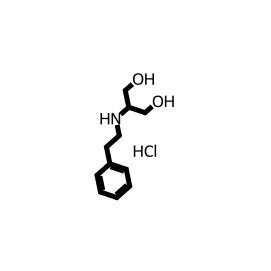 Cl.OCC(CO)NCCc1ccccc1